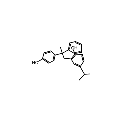 CC(C)c1ccc(O)c(CC(C)(c2ccccc2)c2ccc(O)cc2)c1